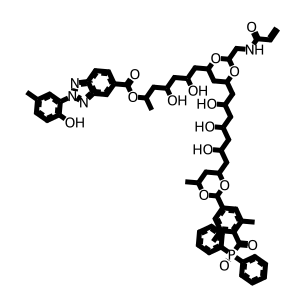 C=CC(=O)NCC1OC(CC(O)CC(O)CC(O)CC2CC(C)OC(c3cc(C)c(C(=O)P(=O)(c4ccccc4)c4ccccc4)c(C)c3)O2)CC(CC(O)CC(O)CC(C)OC(=O)c2ccc3nn(-c4cc(C)ccc4O)nc3c2)O1